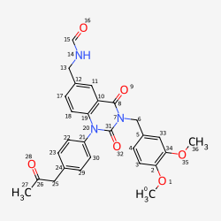 COc1ccc(Cn2c(=O)c3cc(CNC=O)ccc3n(-c3ccc(CC(C)=O)cc3)c2=O)cc1OC